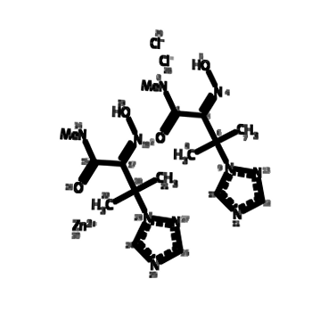 CNC(=O)C(=NO)C(C)(C)n1cncn1.CNC(=O)C(=NO)C(C)(C)n1cncn1.[Cl-].[Cl-].[Zn+2]